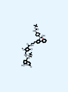 COc1cc(C(=O)NCCCc2ccc(-c3ccccc3)c(N(C(=O)O)C3CCC(NC(=O)OC(C)(C)C)CC3)c2)c(Cl)cc1CNC[C@H](O[Si](C)(C)C(C)(C)C)c1ccc(O)c2[nH]c(=O)ccc12